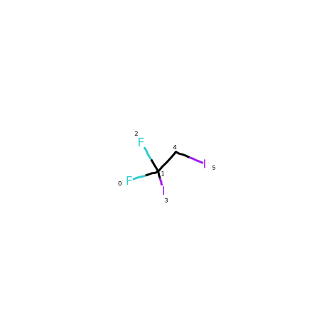 FC(F)(I)CI